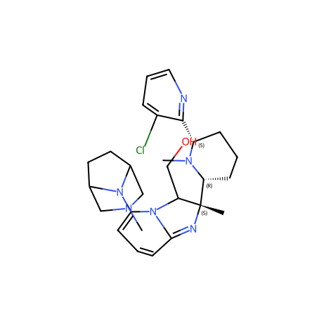 CN1CC2CCC(C1)N2C1=CC=CC2=N[C@@](C)([C@H]3CCC[C@@H](c4ncccc4Cl)N3C)C(CO)N12